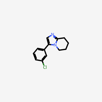 Clc1cccc(-c2cnc3n2CCCC3)c1